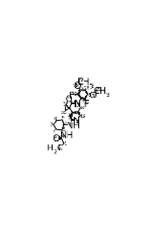 C=CC(=O)NC1CCCCC1Nc1cc2c(cn1)CN(c1c(F)c(OC)cc(OC)c1F)C(=O)C21CC1